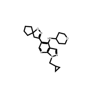 c1nc2c(cnn2CC2CC2)c(NC2CCOCC2)c1C1=NOC2(CCCC2)C1